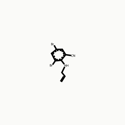 C=CCNc1c(Br)cc(Br)cc1C#N